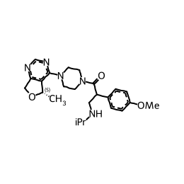 COc1ccc(C(CNC(C)C)C(=O)N2CCN(c3ncnc4c3[C@H](C)OC4)CC2)cc1